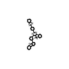 CC1(C)c2ccccc2-c2nc(-c3ccc(-c4nc5ccccc5s4)cc3)nc(-c3cccc(-c4cccc5c4sc4ccccc45)c3)c21